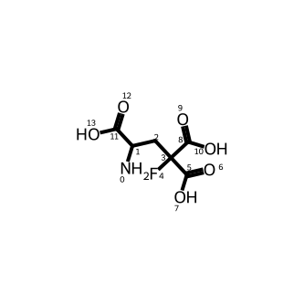 NC(CC(F)(C(=O)O)C(=O)O)C(=O)O